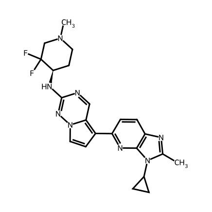 Cc1nc2ccc(-c3ccn4nc(N[C@@H]5CCN(C)CC5(F)F)ncc34)nc2n1C1CC1